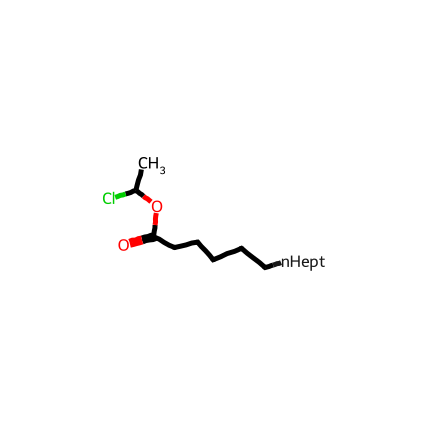 CCCCCCCCCCCCC(=O)OC(C)Cl